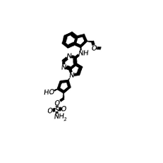 COC[C@@H]1Cc2ccccc2[C@@H]1Nc1ncnc2c1ccn2[C@@H]1C[C@@H](COS(N)(=O)=O)[C@@H](O)C1